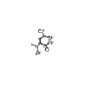 CC(Br)c1cc(Cl)nnc1Cl